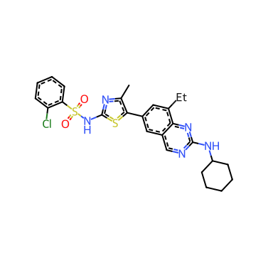 CCc1cc(-c2sc(NS(=O)(=O)c3ccccc3Cl)nc2C)cc2cnc(NC3CCCCC3)nc12